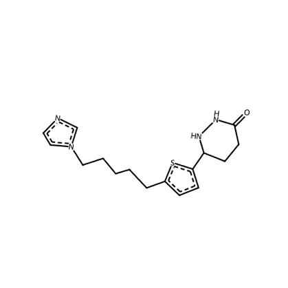 O=C1CCC(c2ccc(CCCCCn3ccnc3)s2)NN1